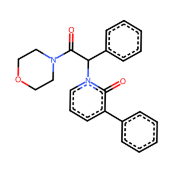 O=C(C(c1ccccc1)n1cccc(-c2ccccc2)c1=O)N1CCOCC1